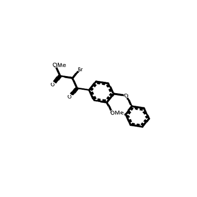 COC(=O)C(Br)C(=O)c1ccc(Oc2ccccc2)c(OC)c1